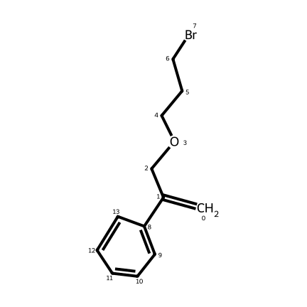 C=C(COCCCBr)c1ccccc1